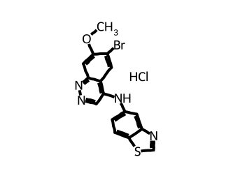 COc1cc2nncc(Nc3ccc4scnc4c3)c2cc1Br.Cl